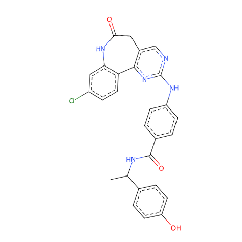 CC(NC(=O)c1ccc(Nc2ncc3c(n2)-c2ccc(Cl)cc2NC(=O)C3)cc1)c1ccc(O)cc1